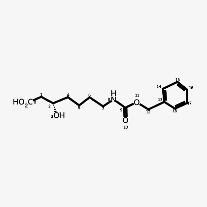 O=C(O)C[C@@H](O)CCCCNC(=O)OCc1ccccc1